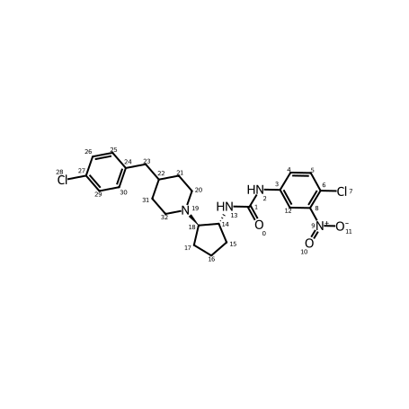 O=C(Nc1ccc(Cl)c([N+](=O)[O-])c1)N[C@@H]1CCC[C@H]1N1CCC(Cc2ccc(Cl)cc2)CC1